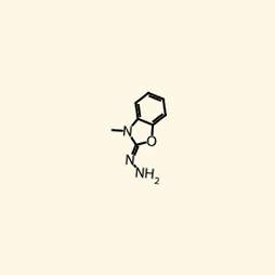 Cn1/c(=N/N)oc2ccccc21